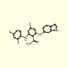 NC(=O)c1c(Nc2ccc(I)cc2F)cc(F)cc1Oc1ccc2cc[nH]c2c1